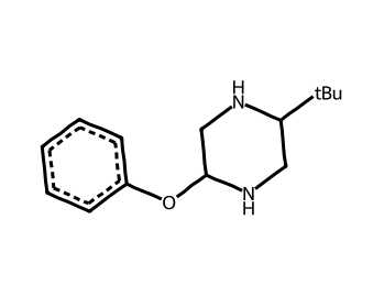 CC(C)(C)C1CNC(Oc2ccccc2)CN1